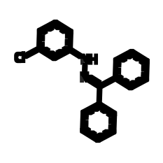 Clc1cccc(NN=C(c2ccccc2)c2ccccc2)c1